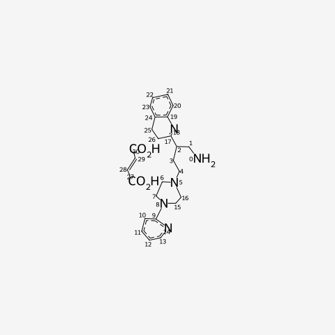 NCC(CCN1CCN(c2ccccn2)CC1)C1=Nc2ccccc2CC1.O=C(O)/C=C/C(=O)O